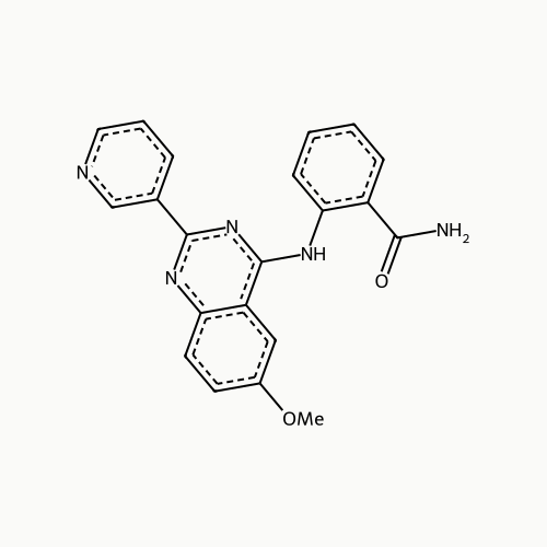 COc1ccc2nc(-c3cccnc3)nc(Nc3ccccc3C(N)=O)c2c1